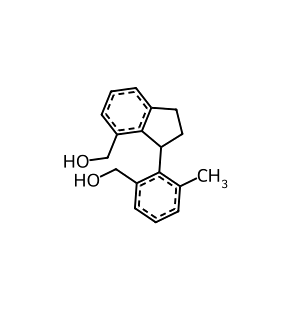 Cc1cccc(CO)c1C1CCc2cccc(CO)c21